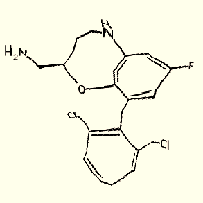 NC[C@H]1CNc2cc(F)cc(-c3c(Cl)cccc3Cl)c2O1